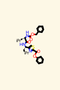 CC(C)C[C@H](NC(=O)OCc1ccccc1)C(=O)N[C@@H](CC(C)C)c1csc(C(=O)Oc2ccccc2)n1